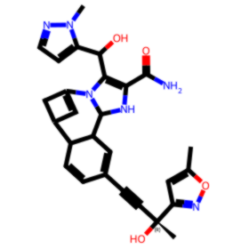 Cc1cc([C@](C)(O)C#CC2=CC3C(C=C2)C2C=C(C2)N2C(C(O)c4ccnn4C)=C(C(N)=O)NC32)no1